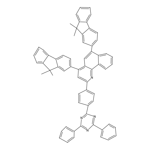 CC1(C)c2ccccc2-c2ccc(-c3cc4c(-c5ccc6c(c5)C(C)(C)c5ccccc5-6)cc(-c5ccc(-c6nc(-c7ccccc7)nc(-c7ccccc7)n6)cc5)nc4c4ccccc34)cc21